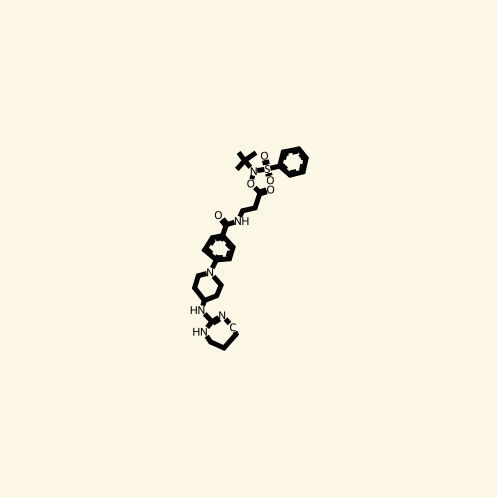 CC(C)(C)N(OC(=O)CCNC(=O)c1ccc(N2CCC(NC3=NCCCCN3)CC2)cc1)S(=O)(=O)c1ccccc1